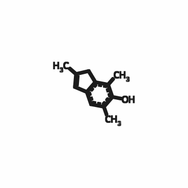 CC1=Cc2cc(C)c(O)c(C)c2C1